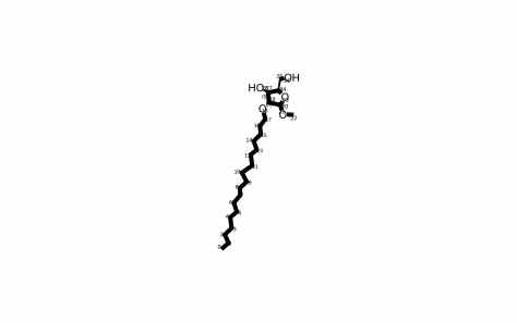 CCCCCCCCCCCCCCCCCCO[C@H]1C(OC)O[C@H](CO)[C@@H]1O